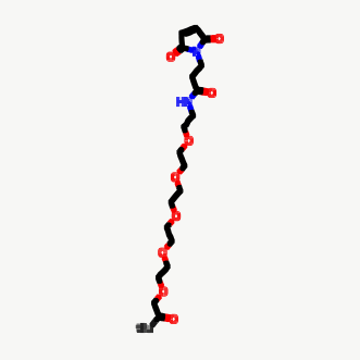 CC(C)(C)C(=O)COCCOCCOCCOCCOCCNC(=O)CCN1C(=O)C=CC1=O